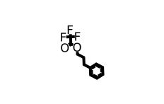 O=C(OCCCc1ccccc1)C(F)(F)F